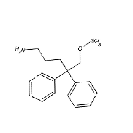 NCCCC(CO[SiH3])(c1ccccc1)c1ccccc1